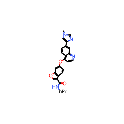 CCCNC(=O)c1coc2cc(Oc3ccnc4cc(-c5cn(C)cn5)ccc34)ccc12